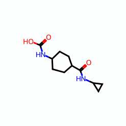 O=C(O)NC1CCC(C(=O)NC2CC2)CC1